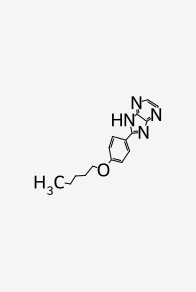 CCCCCOc1ccc(-c2nc3nccnc3[nH]2)cc1